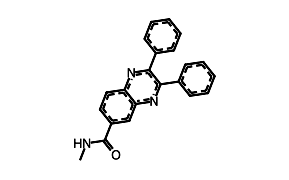 CNC(=O)c1ccc2nc(-c3ccccc3)c(-c3ccccc3)nc2c1